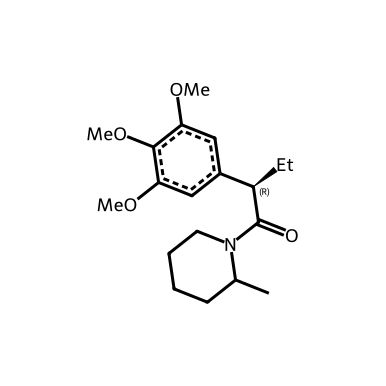 CC[C@@H](C(=O)N1CCCCC1C)c1cc(OC)c(OC)c(OC)c1